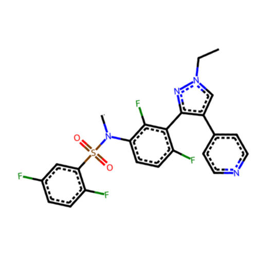 [CH2]N(c1ccc(F)c(-c2nn(CC)cc2-c2ccncc2)c1F)S(=O)(=O)c1cc(F)ccc1F